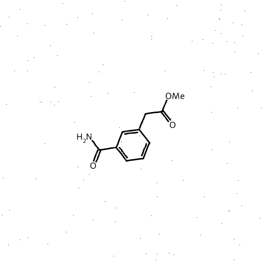 COC(=O)Cc1cccc(C(N)=O)c1